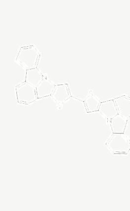 c1ccc2c(c1)c1cccc3c4sc(-c5cc6c(s5)c5cccc7c8ccccc8n6c75)cc4n2c13